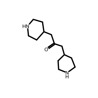 O=C(CC1CCNCC1)CC1CCNCC1